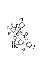 CCc1c(F)c(F)c(F)c(F)c1S(=O)(=O)N(CC(=O)N(Cc1cc(C2CC2)cc(C(C)(C)C)c1)c1ccc(O)c(C(=O)OC)c1)Cc1ccc(Cl)cc1